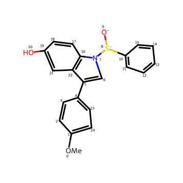 COc1ccc(-c2cn([S+]([O-])c3ccccc3)c3ccc(O)cc23)cc1